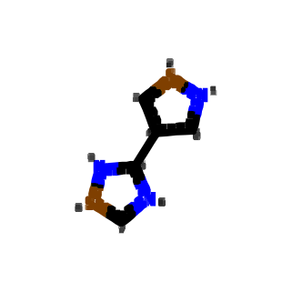 [c]1nscc1-c1ncsn1